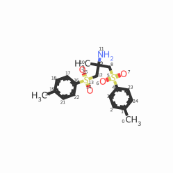 Cc1ccc(S(=O)(=O)CC(C)(N)CS(=O)(=O)c2ccc(C)cc2)cc1